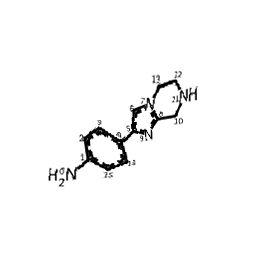 Nc1ccc(-c2cn3c(n2)CNCC3)cc1